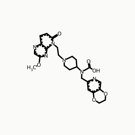 COc1cnc2ccc(=O)n(CCN3CCC(N(Cc4cc5c(cn4)OCCO5)C(=O)O)CC3)c2n1